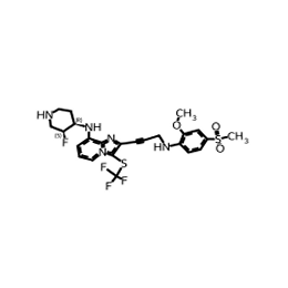 COc1cc(S(C)(=O)=O)ccc1NCC#Cc1nc2c(N[C@@H]3CCNC[C@@H]3F)cccn2c1SC(F)(F)F